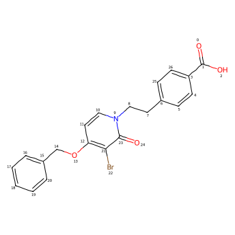 O=C(O)c1ccc(CCn2ccc(OCc3ccccc3)c(Br)c2=O)cc1